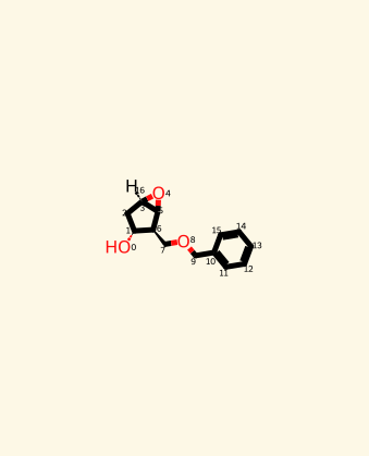 O[C@@H]1C[C@H]2OC2[C@H]1COCc1ccccc1